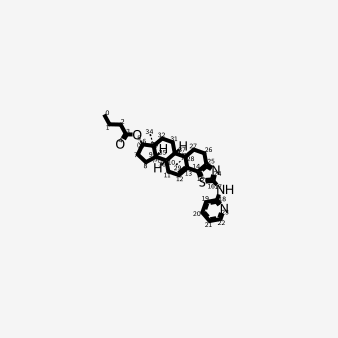 CCCC(=O)O[C@H]1CC[C@H]2[C@@H]3CC=C4c5sc(Nc6ccccn6)nc5CC[C@]4(C)[C@H]3CC[C@]12C